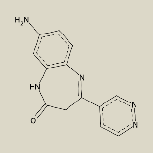 Nc1ccc2c(c1)NC(=O)CC(c1ccnnc1)=N2